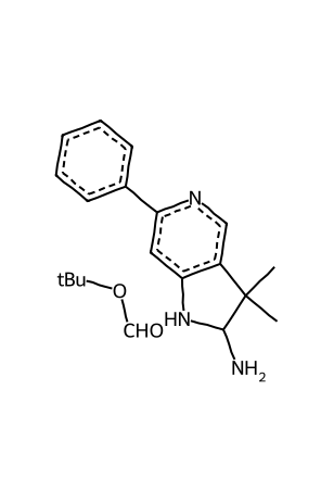 CC(C)(C)OC=O.CC1(C)c2cnc(-c3ccccc3)cc2NC1N